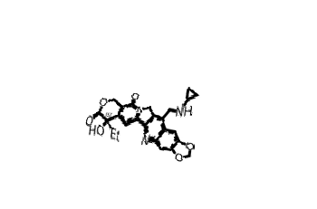 CC[C@@]1(O)C(=O)OCc2c1cc1n(c2=O)Cc2c-1nc1cc3c(cc1c2CNC1CC1)OCO3